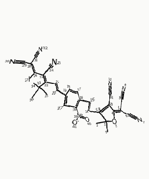 CC1(C)OC(=C(C#N)C#N)C(C#N)=C1/C=C/c1ccc(/C=C/C(=C(\C#N)C(I)=C(C#N)C#N)C(C)(C)C)cc1[N+](=O)[O-]